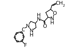 C=CC1CC(C(=O)NC2CNN(Cc3cccc(F)c3)C2)NO1